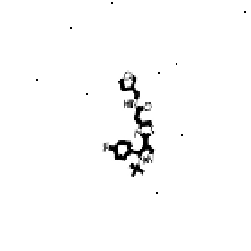 CC(C)(C)n1ncc(-c2nc(CC(=O)NCC3CCOC3)cs2)c1-c1ccc(F)cc1